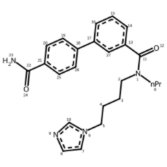 CCCN(CCCCn1ccnc1)C(=O)c1cccc(-c2ccc(C(N)=O)cc2)c1